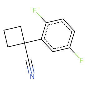 N#CC1(c2cc(F)ccc2F)CCC1